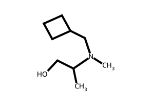 CC(CO)N(C)CC1CCC1